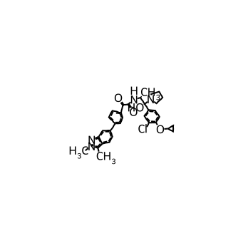 Cc1c2ccc(-c3ccc(C(=O)C(=O)N[C@H](C)[C@](O)(c4ccc(OC5CC5)c(Cl)c4)N4CCCC4)cc3)cc2nn1C